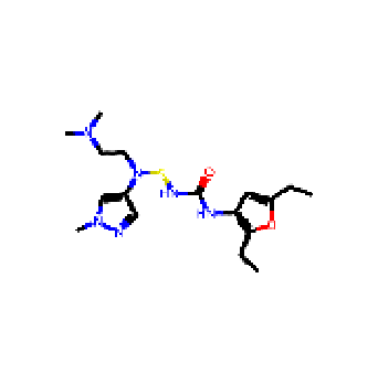 CCc1cc(NC(=O)NSN(CCN(C)C)c2cnn(C)c2)c(CC)o1